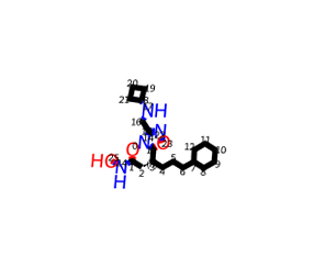 O=C(C[C@@H](CCCC1CCCCC1)c1nc(CNC2CCC2)no1)NO